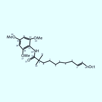 CCCCCCCCC=CCCCCCCC(C)(C)C(=O)Nc1c(OC)cc(OC)cc1OC